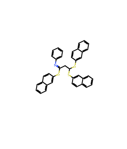 c1ccc(N=C(CC(Sc2ccc3ccccc3c2)Sc2ccc3ccccc3c2)Sc2ccc3ccccc3c2)cc1